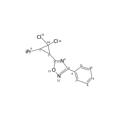 CC(C)C1C(c2nc(-c3ccccc3)no2)C1(Cl)Cl